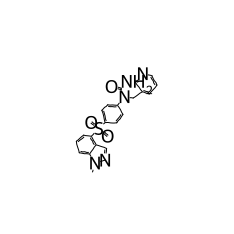 Cn1ncc2c(S(=O)(=O)c3ccc(N(Cc4cccnc4)C(N)=O)cc3)cccc21